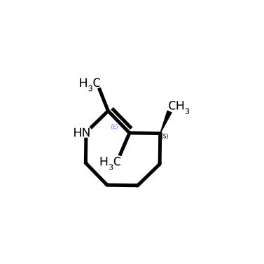 C/C1=C(/C)[C@@H](C)CCCCN1